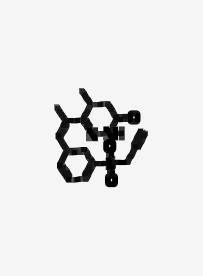 C#CCS(=O)(=O)c1cccc(C=C(C)C2=NNC(=O)CC2C)c1